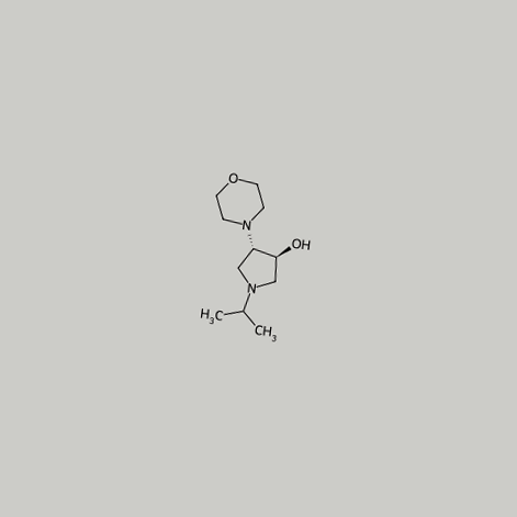 CC(C)N1C[C@H](O)[C@@H](N2CCOCC2)C1